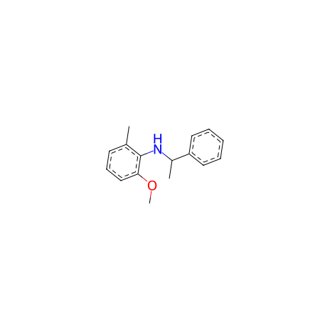 COc1cccc(C)c1NC(C)c1ccccc1